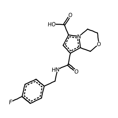 O=C(NCc1ccc(F)cc1)c1cc(C(=O)O)n2c1COCC2